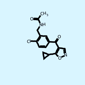 CC(=O)NCc1cc(C(=O)c2cnoc2C2CC2)ccc1Cl